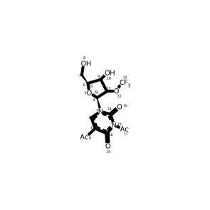 CC(=O)c1cn([C@H]2O[C@@H](CO)C(O)C2OC(F)(F)F)c(=O)n(C(C)=O)c1=O